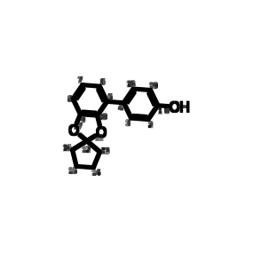 Oc1ccc(-c2cccc3c2OC2(CCCC2)O3)cc1